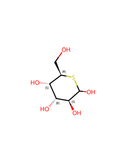 OC[C@H]1SC(O)[C@@H](O)[C@H](O)[C@@H]1O